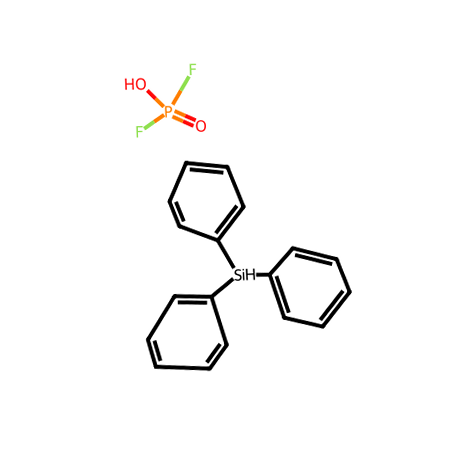 O=P(O)(F)F.c1ccc([SiH](c2ccccc2)c2ccccc2)cc1